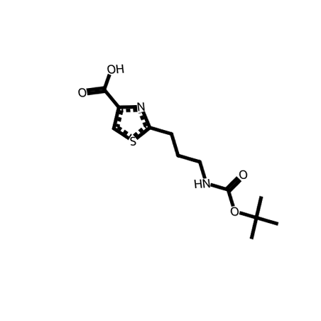 CC(C)(C)OC(=O)NCCCc1nc(C(=O)O)cs1